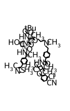 Cc1ncsc1-c1ccc([C@H](C)NC(=O)[C@@H]2C[C@@H](O)CN2C(=O)[C@@H](NC(=O)OC(C)(C)C)[C@@H](C)OCCCN(C)CCc2ccc(C(=O)N[C@H]3C(C)(C)[C@H](Oc4ccc(C#N)c(Cl)c4)C3(C)C)cc2)cc1